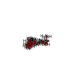 CC[C@H](C)[C@H](NC(=O)[C@H](CO)NC(=O)[C@H](CC(C)C)NC(=O)[C@@H](NC(=O)[C@H](Cc1ccc(O)cc1)NC(=O)[C@H](CC(=O)O)NC(=O)[C@H](CCC(N)=O)NC(=O)CNC(=O)[C@H](CO)NC(=O)CNC(=O)[C@H](CO)NC(=O)CNC(=O)[C@H](CO)NC(=O)[C@H](Cc1ccccc1)NC(=O)[C@@H](N)CCCNC(=N)N)[C@@H](C)O)C(=O)N[C@@H](CO)C(=O)N[C@@H](CO)C(=O)N[C@@H](CC(C)C)C(=O)N[C@@H](CCC(=O)O)C(=O)N[C@H](C(=O)O)[C@@H](C)O